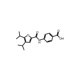 CC(C)c1cc(C(=O)Nc2ccc(C(=O)O)cc2)oc1C(C)C